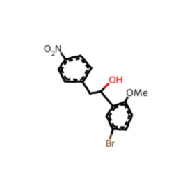 COc1ccc(Br)cc1C(O)Cc1ccc([N+](=O)[O-])cc1